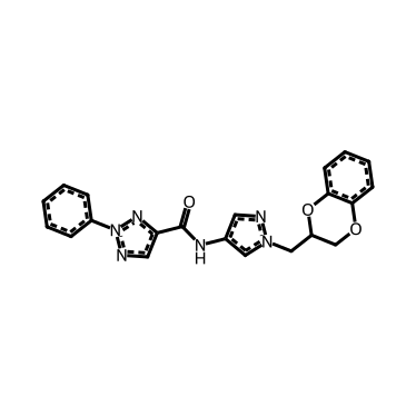 O=C(Nc1cnn(CC2COc3ccccc3O2)c1)c1cnn(-c2ccccc2)n1